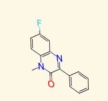 Cn1c(=O)c(-c2ccccc2)nc2cc(F)ccc21